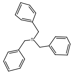 c1ccc([CH2][Ti]([CH2]c2ccccc2)[CH2]c2ccccc2)cc1